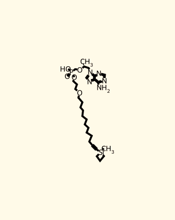 C[C@H](Cn1cnc2c(N)ncnc21)OCP(=O)(O)OCCCOCCCCCCCCCCCC#C[Si]1(C)CCC1